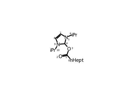 CCCCCCCC(=O)OC1N(C(C)C)C=CN1C(C)C